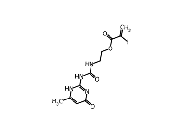 C=C(I)C(=O)OCCNC(=O)Nc1nc(=O)cc(C)[nH]1